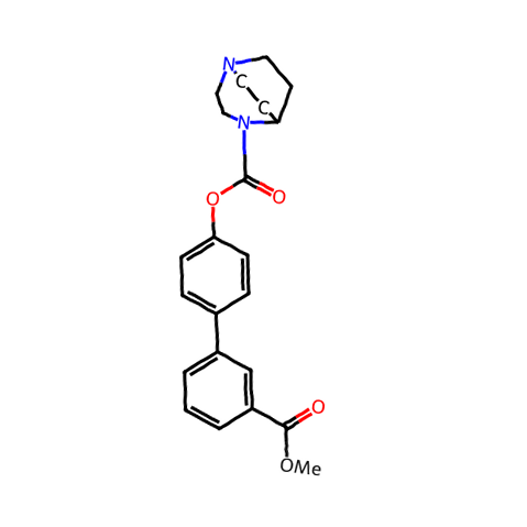 COC(=O)c1cccc(-c2ccc(OC(=O)N3CCN4CCC3CC4)cc2)c1